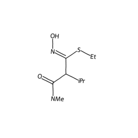 CCS/C(=N\O)C(C(=O)NC)C(C)C